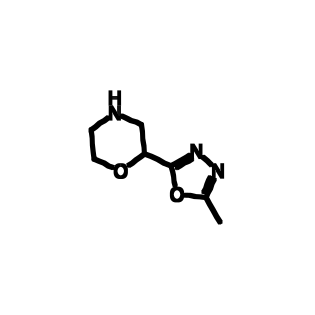 Cc1nnc(C2CNCCO2)o1